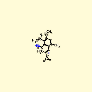 C/C(=C\c1c(C)cc2c(c1C=N)[C@@H](C)C[C@@H]2C)C1CC1